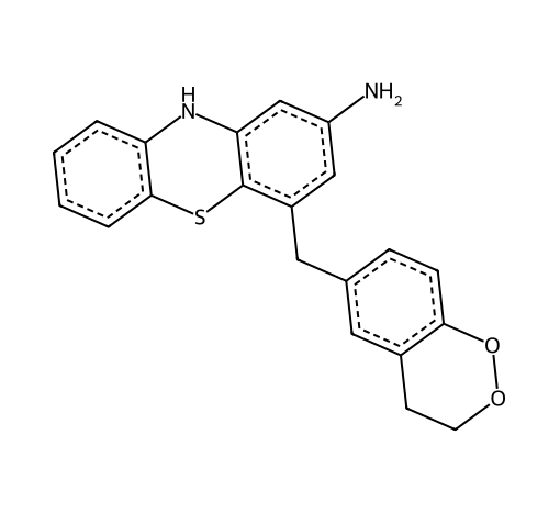 Nc1cc(Cc2ccc3c(c2)CCOO3)c2c(c1)Nc1ccccc1S2